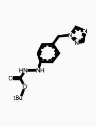 CC(C)(C)OC(=O)NNc1ccc(Cn2cncn2)cc1